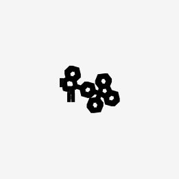 C1=Nc2ccccc2C(c2ccc(C3(c4ccccc4)c4ccccc4-c4ccccc43)cc2)N1